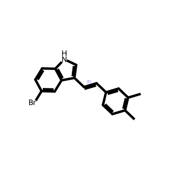 Cc1ccc(/C=C/c2c[nH]c3ccc(Br)cc23)cc1C